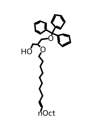 CCCCCCCCC=CCCCCCCCCOC(CO)COC(c1ccccc1)(c1ccccc1)c1ccccc1